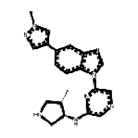 C[C@H]1CNC[C@@H]1Nc1cncc(-n2cnc3cc(-c4cnn(C)c4)ccc32)n1